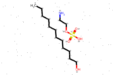 CCCCCCCCCCCCO.NCCOS(=O)(=O)O